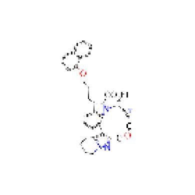 CCOC(=O)c1c(CCCOc2cccc3ccccc23)c2cccc3c2n1C/C=C\COCc1nn2c(c1-3)CCCC2